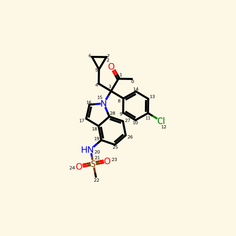 CC(=O)C(CC1CC1)(c1ccc(Cl)cc1)n1ccc2c(NS(C)(=O)=O)cccc21